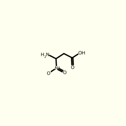 NC(CC(=O)O)[N+](=O)[O-]